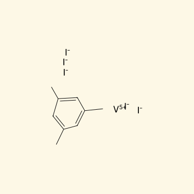 Cc1cc(C)cc(C)c1.[I-].[I-].[I-].[I-].[I-].[V+5]